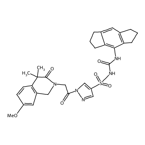 COc1ccc2c(c1)CN(CC(=O)n1cc(S(=O)(=O)NC(=O)Nc3c4c(cc5c3CCC5)CCC4)cn1)C(=O)C2(C)C